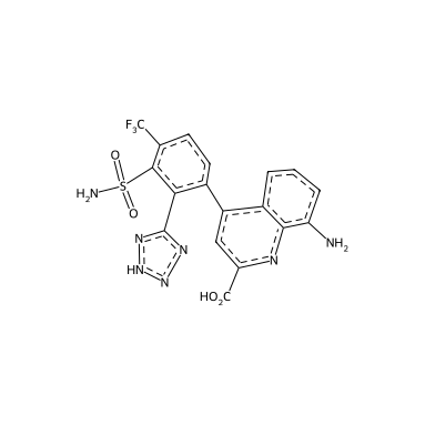 Nc1cccc2c(-c3ccc(C(F)(F)F)c(S(N)(=O)=O)c3-c3nn[nH]n3)cc(C(=O)O)nc12